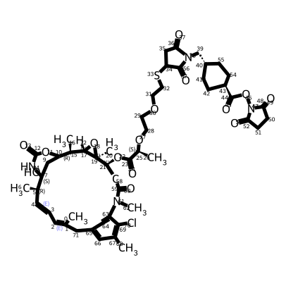 C/C1=C\C=C\[C@@H](C)[C@@]2(O)CC(OC(=O)N2)[C@@H](C)[C@@H]2O[C@@]2(C)[C@@H](OC(=O)[C@H](C)OCCOCCSC2CC(=O)N(C[C@H]3CC[C@H](C(=O)ON4C(=O)CCC4=O)CC3)C2=O)CC(=O)N(C)c2cc(cc(C)c2Cl)C1